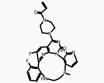 C=CC(=O)N1CCN(c2nc(=O)n3c4nc(c(F)cc24)-c2c(F)cccc2NCCN(C)c2ccnc(C(C)C)c2-3)CC1